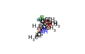 COC(=O)[C@@H](OC(C)(C)C)c1c(C)nc(C(=O)N[C@H]2CC[C@H](C)CC2)c(C)c1-c1ccc(Cl)c(F)c1